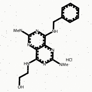 CNc1nc(NCc2ccccc2)c2nc(NC)nc(NCCO)c2n1.Cl